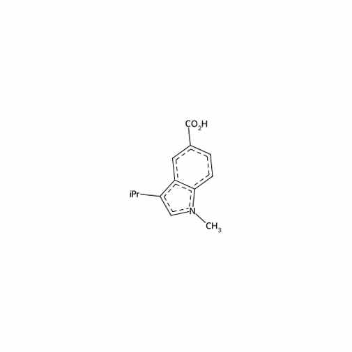 CC(C)c1cn(C)c2ccc(C(=O)O)cc12